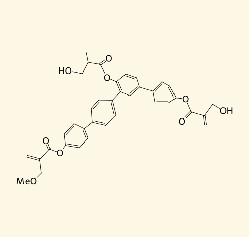 C=C(CO)C(=O)Oc1ccc(-c2ccc(OC(=O)C(C)CO)c(-c3ccc(-c4ccc(OC(=O)C(=C)COC)cc4)cc3)c2)cc1